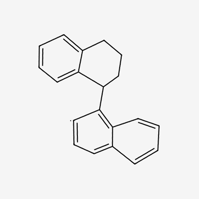 [c]1ccc2ccccc2c1C1CCCc2ccccc21